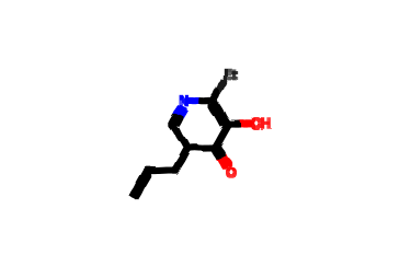 C=CCC1C=NC(CC)=C(O)C1=O